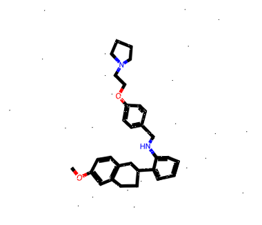 COc1ccc2c(c1)CCC(c1ccccc1NCc1ccc(OCCN3CCCC3)cc1)C2